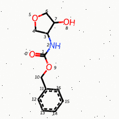 O=C(NC1COCC1O)OCc1ccccc1